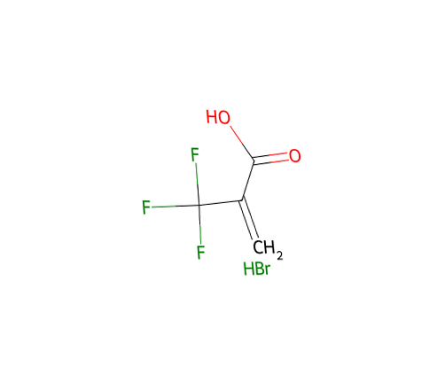 Br.C=C(C(=O)O)C(F)(F)F